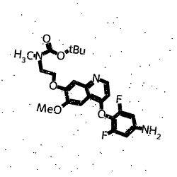 COc1cc2c(Oc3c(F)cc(N)cc3F)ccnc2cc1OCCN(C)C(=O)OC(C)(C)C